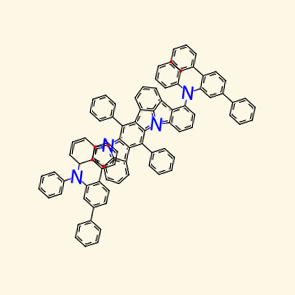 C1=Cc2c(c3cccc4c5c(-c6ccccc6)c6c(c(-c7ccccc7)c5n2c34)c2cccc3c4c(N(c5ccccc5)c5cc(-c7ccccc7)ccc5-c5ccccc5)cccc4n6c32)C(N(c2ccccc2)c2cc(-c3ccccc3)ccc2-c2ccccc2)C=1